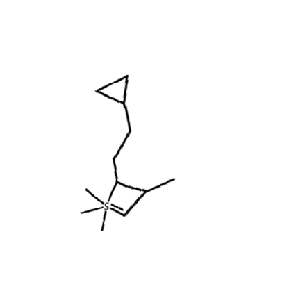 CC1C=S(C)(C)(C)C1CCC1CC1